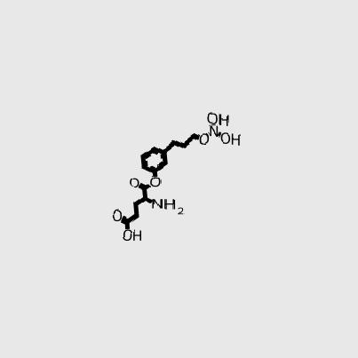 NC(CCC(=O)O)C(=O)Oc1cccc(CCCON(O)O)c1